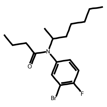 CCCCCC(C)N(C(=O)CCC)c1ccc(F)c(Br)c1